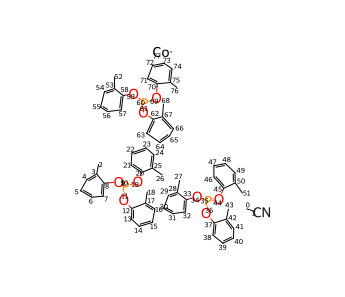 CC#N.Cc1ccccc1OP(Oc1ccccc1C)Oc1ccccc1C.Cc1ccccc1OP(Oc1ccccc1C)Oc1ccccc1C.Cc1ccccc1OP(Oc1ccccc1C)Oc1ccccc1C.[Co]